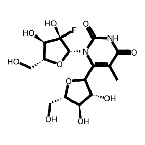 Cc1c(C2O[C@@H](CO)[C@H](O)[C@H]2O)n([C@@H]2O[C@H](CO)[C@@H](O)[C@]2(O)F)c(=O)[nH]c1=O